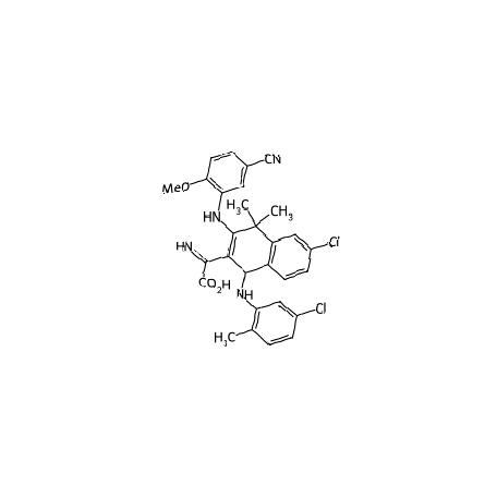 COc1ccc(C#N)cc1NC1=C(C(=N)C(=O)O)C(Nc2cc(Cl)ccc2C)c2ccc(Cl)cc2C1(C)C